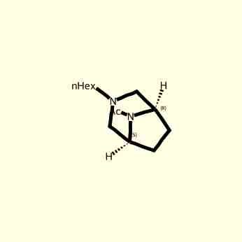 CCCCCCN1C[C@H]2CC[C@@H](C1)N2C(C)=O